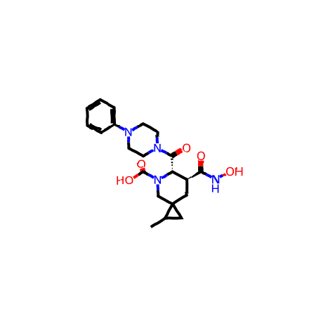 CC1CC12C[C@H](C(=O)NO)[C@@H](C(=O)N1CCN(c3ccccc3)CC1)N(C(=O)O)C2